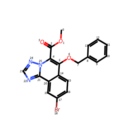 COC(=O)c1c(OCc2ccccc2)c2ccc(Br)cc2c2ncnn12